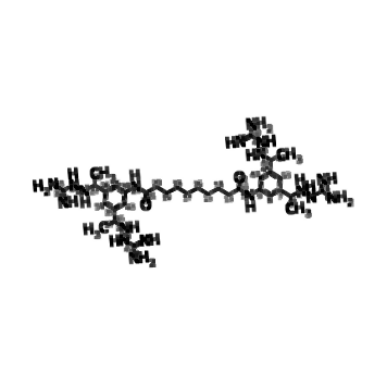 CC(NNC(=N)N)c1cc(NC(=O)CCCCCCCCC(=O)Nc2cc(C(C)NNC(=N)N)cc(C(C)NNC(=N)N)c2)cc(C(C)NNC(=N)N)c1